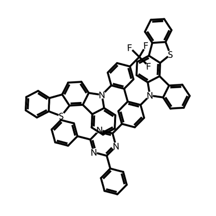 FC(F)(F)c1ccc(-n2c3ccccc3c3c4sc5ccccc5c4ccc32)c(-c2cc(-c3nc(-c4ccccc4)nc(-c4ccccc4)n3)ccc2-n2c3ccccc3c3c4sc5ccccc5c4ccc32)c1